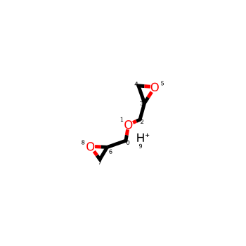 C(OCC1CO1)C1CO1.[H+]